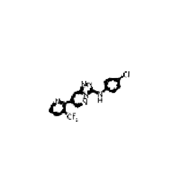 FC(F)(F)c1cccnc1-c1cnn2c(Nc3ccc(Cl)cc3)nnc2c1